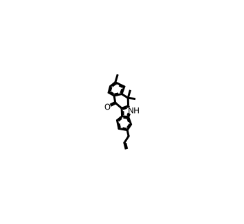 C=CCc1ccc2c3c([nH]c2c1)C(C)(C)c1cc(C)ccc1C3=O